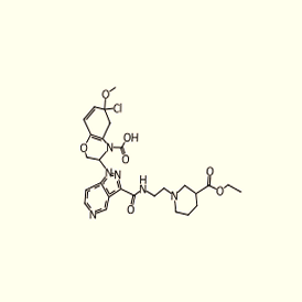 CCOC(=O)C1CCCN(CCNC(=O)c2nn(C3COC4=C(CC(Cl)(OC)C=C4)N3C(=O)O)c3ccncc23)C1